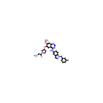 C=CC(=O)N1CC[C@H](Oc2cc3c(Nc4ccc5c(cnn5Cc5cccc(F)c5)c4)ncnc3cc2OC)C1